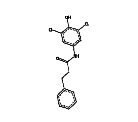 O=C(CCc1ccccc1)Nc1cc(Cl)c(O)c(Cl)c1